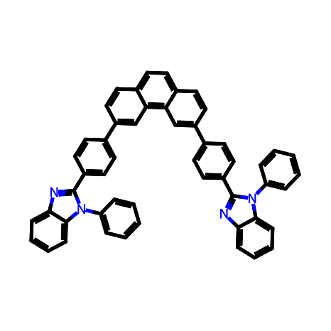 c1ccc(-n2c(-c3ccc(-c4ccc5ccc6ccc(-c7ccc(-c8nc9ccccc9n8-c8ccccc8)cc7)cc6c5c4)cc3)nc3ccccc32)cc1